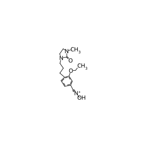 CCOc1cc(C#[N+]O)ccc1CCCN1CCN(C)C1=O